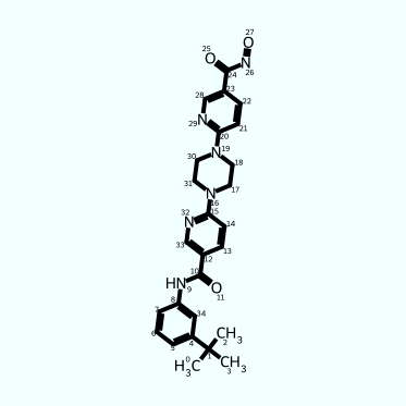 CC(C)(C)c1cccc(NC(=O)c2ccc(N3CCN(c4ccc(C(=O)N=O)cn4)CC3)nc2)c1